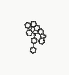 C1=CCC(c2ccccc2-c2ccccc2)(N(c2ccc(-c3ccccc3)cc2)c2cccc3sc4ccccc4c23)C(c2ccccc2)=C1